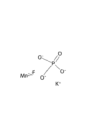 O=P([O-])([O-])[O-].[F].[K+].[Mn+2]